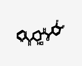 Cl.O=C(NC1CCC(Nc2ncccn2)CC1)c1ccc(F)c(F)c1